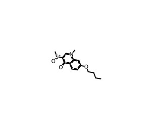 CCCCOc1ccc2c(=O)c([S+](C)[O-])cn(C)c2c1